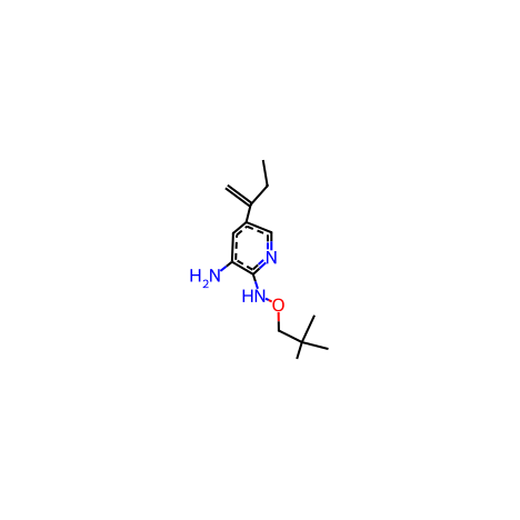 C=C(CC)c1cnc(NOCC(C)(C)C)c(N)c1